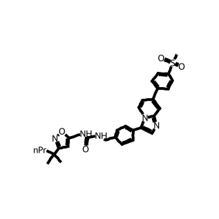 CCCC(C)(C)c1cc(NC(=O)NCc2ccc(-c3cnc4cc(-c5ccc(S(C)(=O)=O)cc5)ccn34)cc2)on1